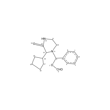 O=COC(c1ccccc1)N1CCNC(=O)C1C1CCCC1